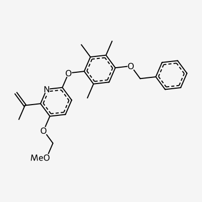 C=C(C)c1nc(Oc2c(C)cc(OCc3ccccc3)c(C)c2C)ccc1OCOC